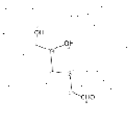 O=[C]CSCC(O)CO